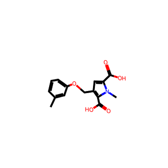 Cc1cccc(OCc2cc(C(=O)O)n(C)c2C(=O)O)c1